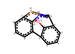 Oc1c2cccc1-c1cccc3sc-2nc13